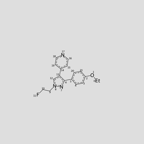 CCOc1ccc(-c2nn(CCF)cc2-c2ccncc2)cc1